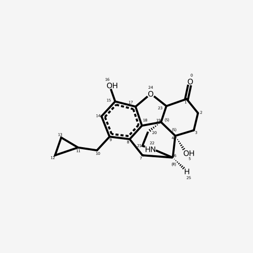 O=C1CC[C@@]2(O)[C@H]3Cc4c(CC5CC5)cc(O)c5c4[C@@]2(CCN3)C1O5